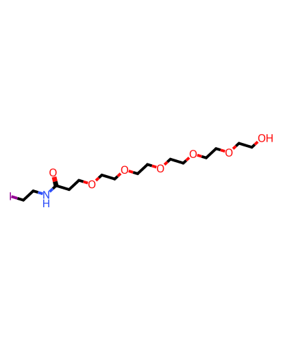 O=C(CCOCCOCCOCCOCCOCCO)NCCI